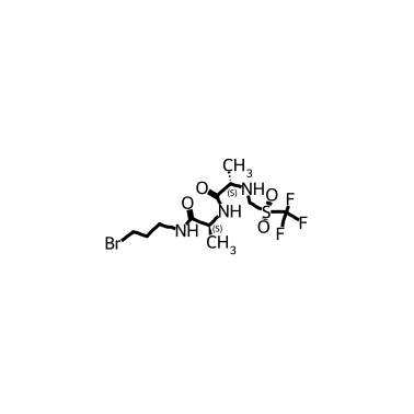 C[C@H](NCS(=O)(=O)C(F)(F)F)C(=O)N[C@@H](C)C(=O)NCCCBr